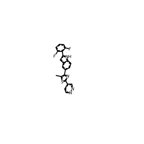 Cc1sc(-c2ccnnc2)nc1-c1ccc2[nH]c(-c3c(F)cccc3F)cc2c1